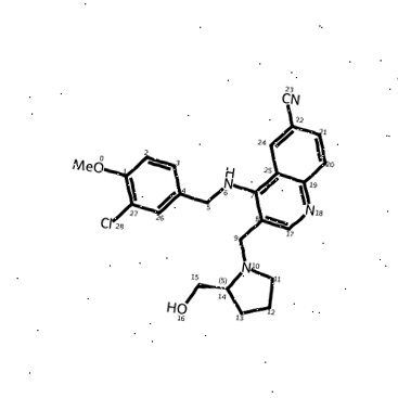 COc1ccc(CNc2c(CN3CCC[C@H]3CO)cnc3ccc(C#N)cc23)cc1Cl